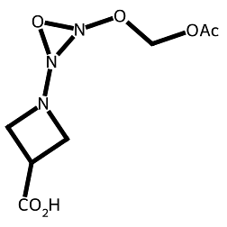 CC(=O)OCOn1on1N1CC(C(=O)O)C1